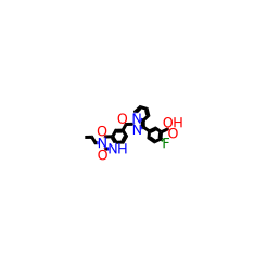 CCCn1c(=O)[nH]c2ccc(C(=O)c3nc(-c4ccc(F)c(C(=O)O)c4)c4ccccn34)cc2c1=O